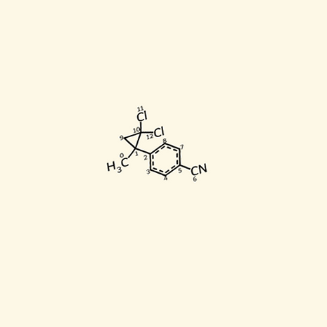 CC1(c2ccc(C#N)cc2)CC1(Cl)Cl